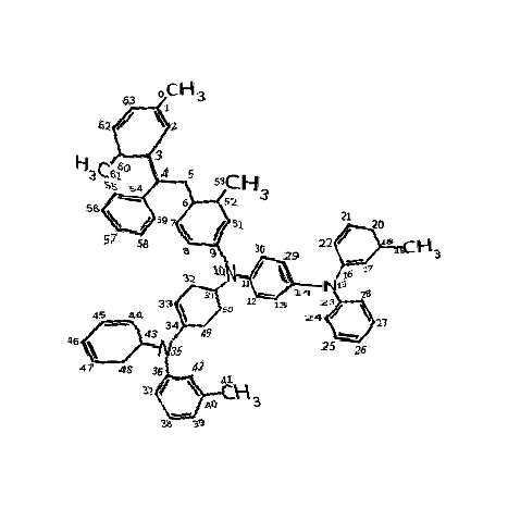 CC1=CC(C(CC2C=CC(N(c3ccc(N(C4=CC(C)CC=C4)c4ccccc4)cc3)C3CC=C(N(c4cccc(C)c4)C4C=CC=CC4)CC3)=CC2C)c2ccccc2)C(C)C=C1